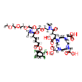 CCOCCOCCOCC(OCCOCCN(CC)C(=O)CCC(C(=O)O)N1CCN(CC(=O)O)CCN(CC(=O)O)CCN(CC(=O)O)CC1)N(CC)C(=O)CCCCC(=O)Oc1c(F)c(F)cc(F)c1F